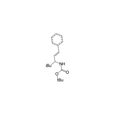 CCC(C)C(C=Cc1ccccc1)NC(=O)OC(C)(C)C